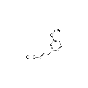 CCCOc1cccc(CC=CC=O)c1